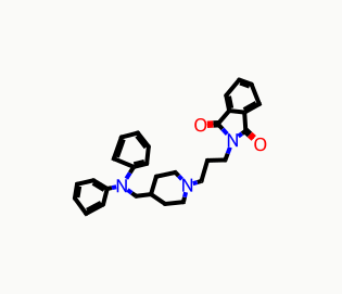 O=C1c2ccccc2C(=O)N1CCCN1CCC(CN(c2ccccc2)c2ccccc2)CC1